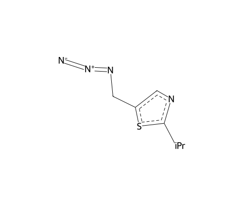 CC(C)c1ncc(CN=[N+]=[N-])s1